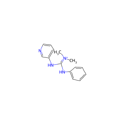 C[N+](C)=C(Nc1ccccc1)Nc1cccnc1